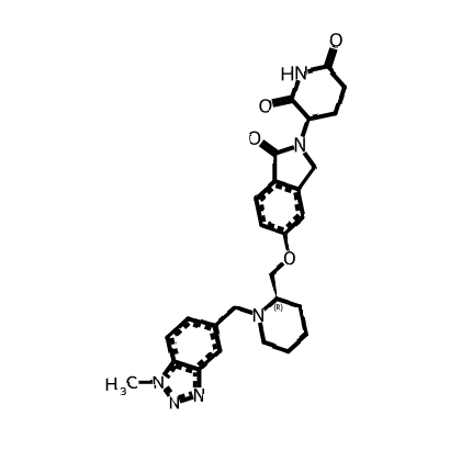 Cn1nnc2cc(CN3CCCC[C@@H]3COc3ccc4c(c3)CN(C3CCC(=O)NC3=O)C4=O)ccc21